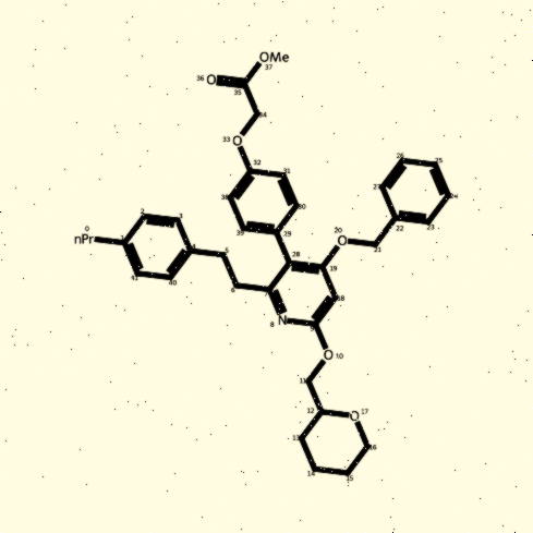 CCCc1ccc(CCc2nc(OCC3CCCCO3)cc(OCc3ccccc3)c2-c2ccc(OCC(=O)OC)cc2)cc1